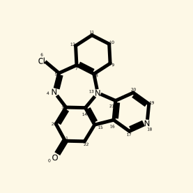 O=C1C=C2N=C(Cl)C3=C(CCCC3)n3c2c(c2cnccc23)C1